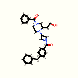 O=C(c1ccccc1)N1CCN(C2CN(C(=O)c3ccc(Cc4ccccc4)cc3)C2)C(CCO)C1